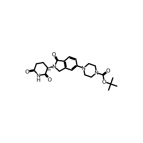 CC(C)(C)OC(=O)N1CCN(c2ccc3c(c2)CN([C@@H]2CCC(=O)NC2=O)C3=O)CC1